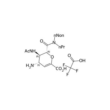 CCCCCCCCCN(CCC)C(=O)[C@@H]1OC(C(=O)O)=C[C@H](N)[C@H]1NC(C)=O.O=C(O)C(F)(F)F